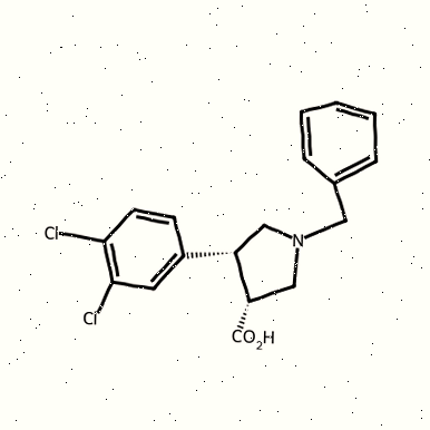 O=C(O)[C@H]1CN(Cc2ccccc2)C[C@H]1c1ccc(Cl)c(Cl)c1